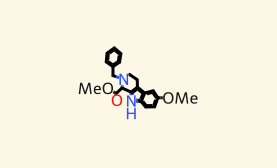 COC(=O)C1c2[nH]c3ccc(OC)cc3c2CCN1Cc1ccccc1